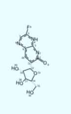 O=c1nc2[nH]c(F)cnc-2cc1[C@@H]1O[C@H](CO)C(O)[C@@H]1O